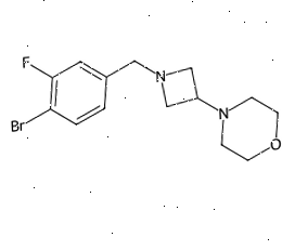 Fc1cc(CN2CC(N3CCOCC3)C2)ccc1Br